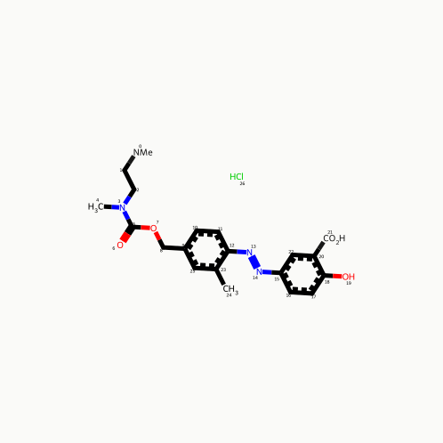 CNCCN(C)C(=O)OCc1ccc(N=Nc2ccc(O)c(C(=O)O)c2)c(C)c1.Cl